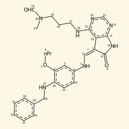 CCCOc1cc(N/C=C2\C(=O)Nc3ncnc(NCCCN(C)C=O)c32)ccc1NCc1ccccc1